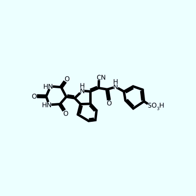 N#C/C(C(=O)Nc1ccc(S(=O)(=O)O)cc1)=c1\[nH]c(=C2C(=O)NC(=O)NC2=O)c2ccccc12